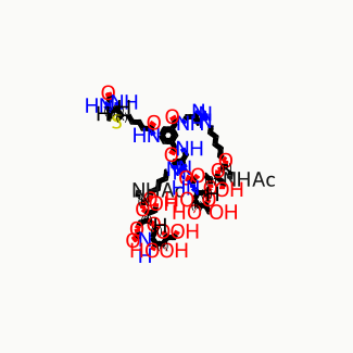 CC(=O)NC[C@H](OCCCCCCn1cc(CNC(=O)c2cc(NC(=O)CCCC[C@H]3SC[C@H]4NC(=O)N[C@H]43)cc(C(=O)NCc3cn(CCCCCO[C@@H](CNC(C)=O)OC(CO)[C@H]4COC(=O)NC5C(O)[C@@H](O)C(CO)O[C@@H]5O4)nn3)c2)nn1)OC(CO)[C@H]1COC(=O)NC2C(O)[C@@H](O)C(CO)O[C@@H]2O1